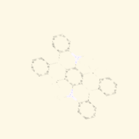 CN1c2ccccc2B2c3ccccc3[Si](C)(C)c3c2c1c1c2c3N(C)c3ccccc3B2c2ccccc2[Si]1(C)C